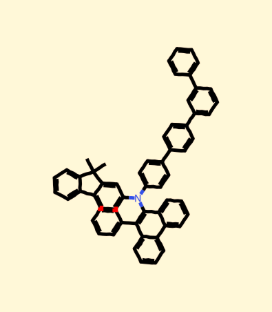 CC1(C)c2ccccc2-c2ccc(N(c3ccc(-c4ccc(-c5cccc(-c6ccccc6)c5)cc4)cc3)c3c(-c4ccccc4)c4ccccc4c4ccccc34)cc21